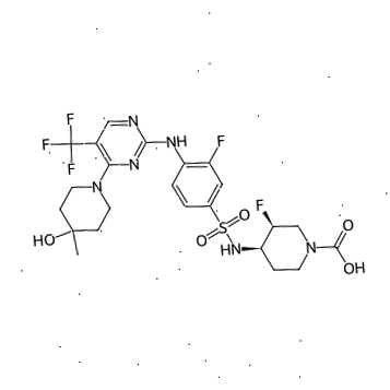 CC1(O)CCN(c2nc(Nc3ccc(S(=O)(=O)N[C@@H]4CCN(C(=O)O)C[C@@H]4F)cc3F)ncc2C(F)(F)F)CC1